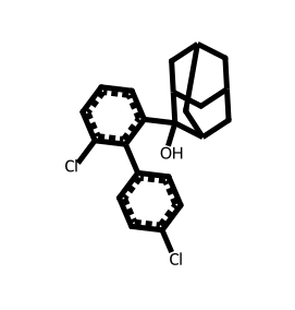 OC1(c2cccc(Cl)c2-c2ccc(Cl)cc2)C2CC3CC(C2)CC1C3